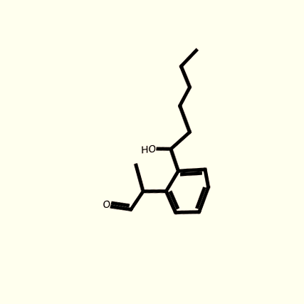 CCCCCC(O)c1ccccc1C(C)C=O